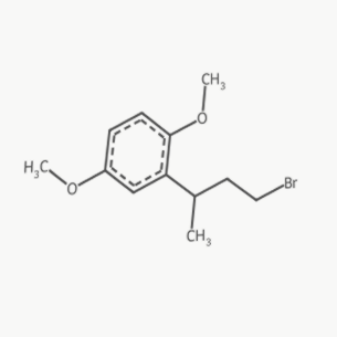 COc1ccc(OC)c(C(C)CCBr)c1